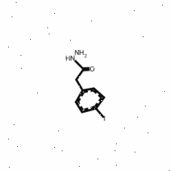 NNC(=O)Cc1ccc(I)cc1